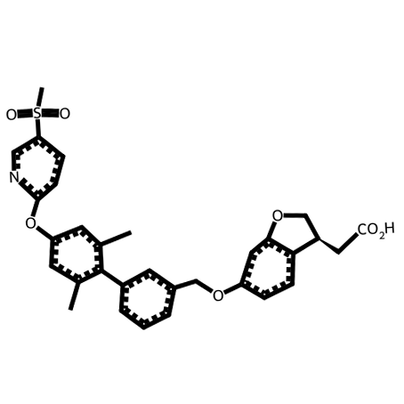 Cc1cc(Oc2ccc(S(C)(=O)=O)cn2)cc(C)c1-c1cccc(COc2ccc3c(c2)OC[C@H]3CC(=O)O)c1